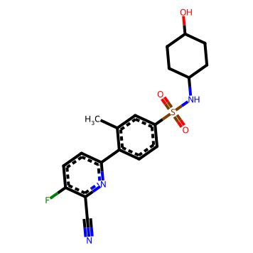 Cc1cc(S(=O)(=O)NC2CCC(O)CC2)ccc1-c1ccc(F)c(C#N)n1